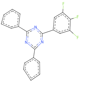 Fc1cc(-c2nc(-c3ccccc3)nc(-c3ccccc3)n2)cc(F)c1F